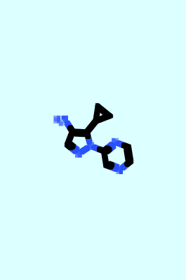 Nc1cnn(-c2cnccn2)c1C1CC1